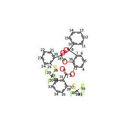 O=C(Oc1cccc(C(=O)c2ccccc2)c1OC(=O)c1ccccc1SC(F)(F)F)c1ccccc1SC(F)(F)F